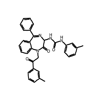 Cc1cccc(NC(=O)NC2N=C(c3ccccc3)c3ccccc3N(CC(=O)c3cccc(C)c3)C2=O)c1